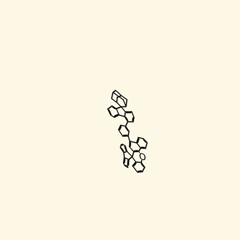 c1cc(-c2cccc3c2-c2ccccc2C32C3CC4CC(C3)CC2C4)cc(-c2cc3c(c4ccccc24)Oc2ccccc2C32c3ccccc3-c3ccccc32)c1